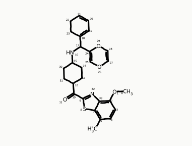 COc1ccc(C)c2sc(C(=O)C3CCC(NC(C4=CC=CCC4)C4=COC=CO4)CC3)nc12